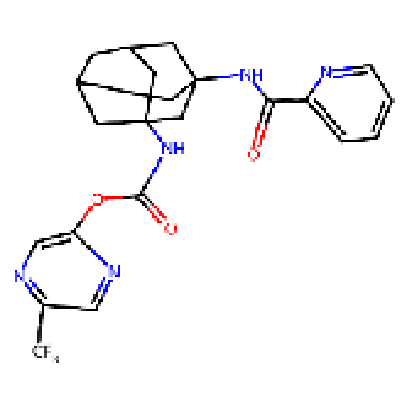 O=C(NC12CC3CC(C1)CC(NC(=O)c1ccccn1)(C3)C2)Oc1cnc(C(F)(F)F)cn1